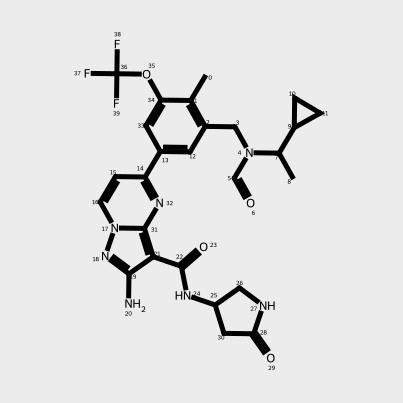 Cc1c(CN(C=O)C(C)C2CC2)cc(-c2ccn3nc(N)c(C(=O)NC4CNC(=O)C4)c3n2)cc1OC(F)(F)F